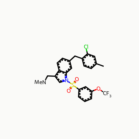 CNCc1cn(S(=O)(=O)c2cccc(OC(F)(F)F)c2)c2cc(Cc3ccc(C)cc3Cl)ccc12